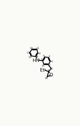 CCC1(Cc2cccc(Nc3ccccc3)c2)CO1